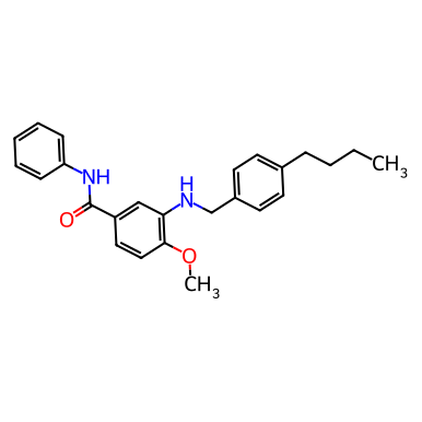 CCCCc1ccc(CNc2cc(C(=O)Nc3ccccc3)ccc2OC)cc1